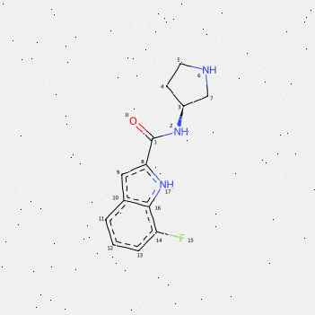 O=C(N[C@H]1CCNC1)c1cc2cccc(F)c2[nH]1